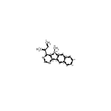 C=CC(=C)c1ncnc2c3cc4ccccc4cc3n(C)c12